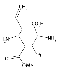 C=CCC(N)CC(=O)OC.CC(C)CC(N)C(=O)O